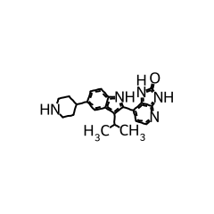 CC(C)c1c(-c2ccnc3[nH]c(=O)[nH]c23)[nH]c2ccc(C3CCNCC3)cc12